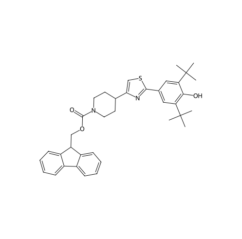 CC(C)(C)c1cc(-c2nc(C3CCN(C(=O)OCC4c5ccccc5-c5ccccc54)CC3)cs2)cc(C(C)(C)C)c1O